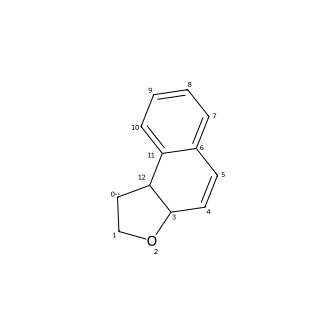 [C]1COC2C=Cc3ccccc3C12